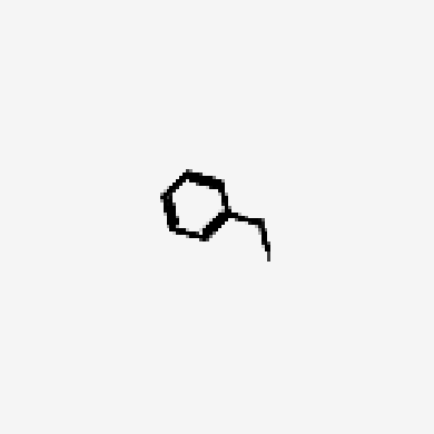 ISc1ccccc1